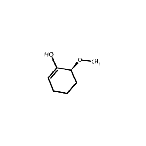 CO[C@H]1CCCC=C1O